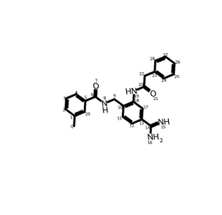 Cc1cccc(C(=O)NCc2ccc(C(=N)N)cc2NC(=O)Cc2ccccc2)c1